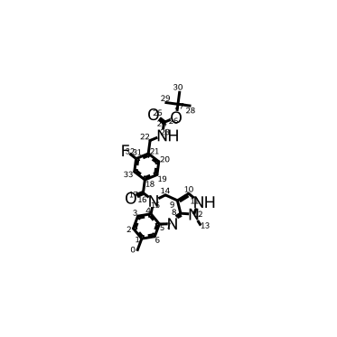 Cc1ccc2c(c1)N=C1C(=CNN1C)CN2C(=O)c1ccc(CNC(=O)OC(C)(C)C)c(F)c1